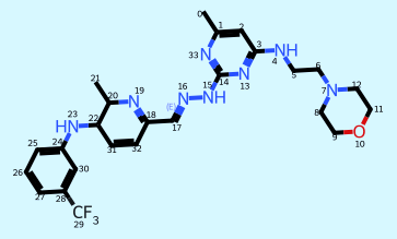 Cc1cc(NCCN2CCOCC2)nc(N/N=C/C2=NC(C)C(Nc3cccc(C(F)(F)F)c3)C=C2)n1